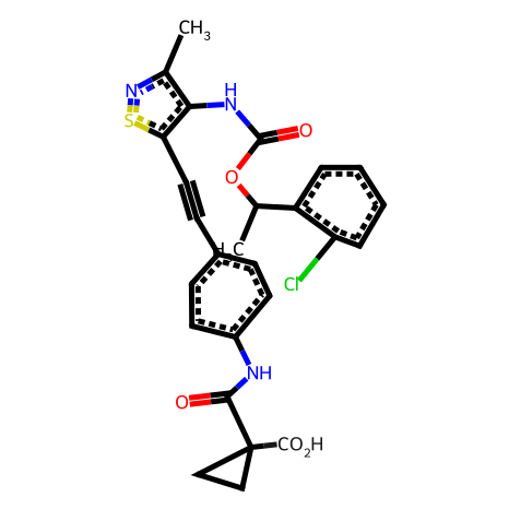 Cc1nsc(C#Cc2ccc(NC(=O)C3(C(=O)O)CC3)cc2)c1NC(=O)OC(C)c1ccccc1Cl